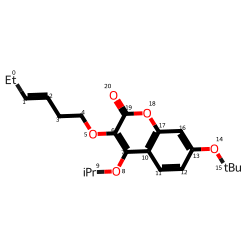 CCC=CCCOc1c(OC(C)C)c2ccc(OC(C)(C)C)cc2oc1=O